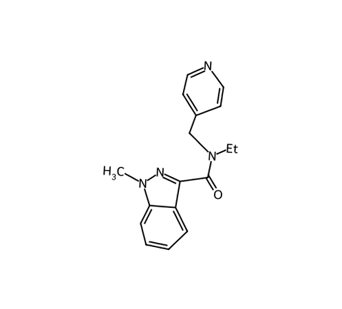 CCN(Cc1ccncc1)C(=O)c1nn(C)c2ccccc12